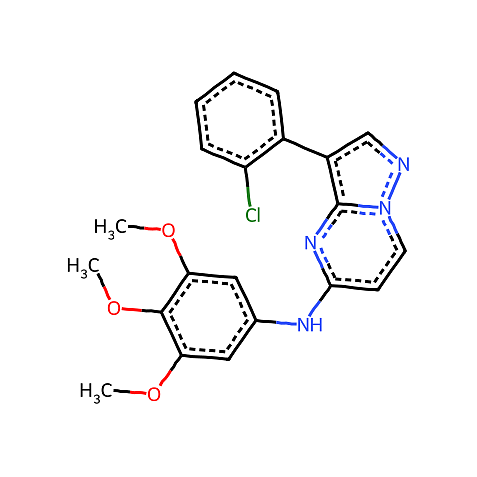 COc1cc(Nc2ccn3ncc(-c4ccccc4Cl)c3n2)cc(OC)c1OC